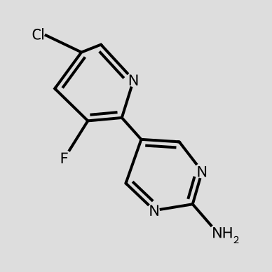 Nc1ncc(-c2ncc(Cl)cc2F)cn1